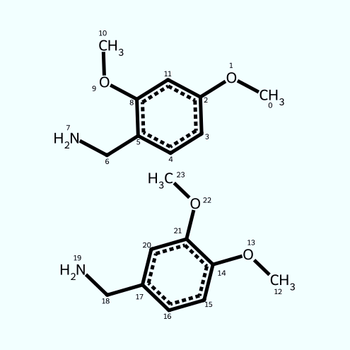 COc1ccc(CN)c(OC)c1.COc1ccc(CN)cc1OC